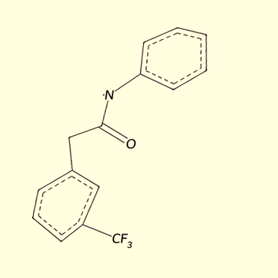 O=C(Cc1cccc(C(F)(F)F)c1)[N]c1ccccc1